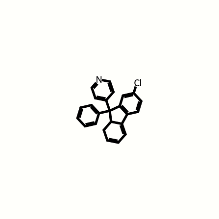 Clc1ccc2c(c1)C(c1ccccc1)(c1ccncc1)C1CC=CC=C21